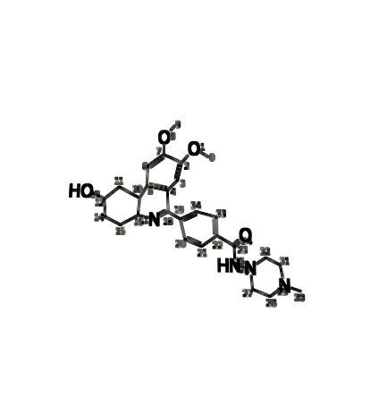 COc1cc2c(cc1OC)C1CC(O)CCC1N=C2c1ccc(C(=O)NN2CCN(C)CC2)cc1